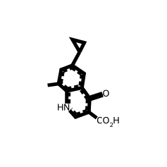 Cc1cc(C2CC2)cc2c(=O)c(C(=O)O)c[nH]c12